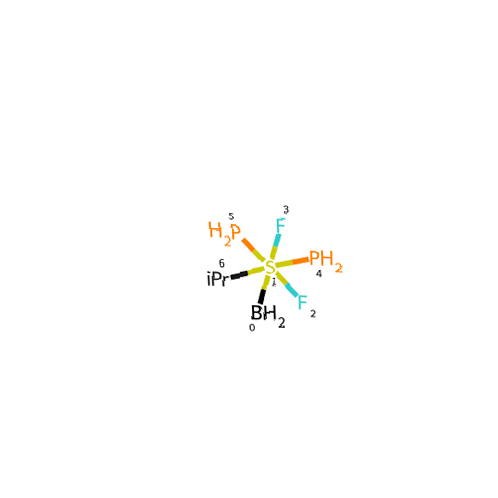 BS(F)(F)(P)(P)C(C)C